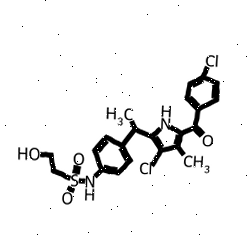 Cc1c(C(=O)c2ccc(Cl)cc2)[nH]c(C(C)c2ccc(NS(=O)(=O)CCO)cc2)c1Cl